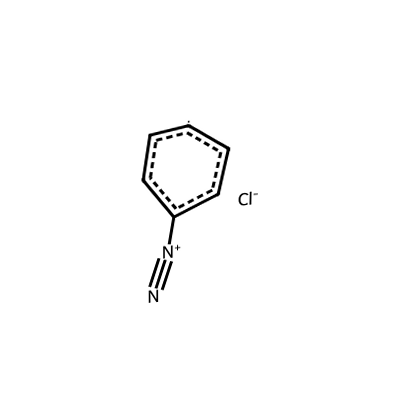 N#[N+]c1cc[c]cc1.[Cl-]